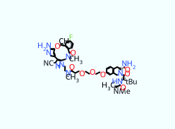 CN[C@H](C)C(=O)N[C@@H](C(=O)N1Cc2cc(OCCOCCOCCC(=O)N(C)CCn3nc(C#N)c4c3CN(C)C(=O)c3ccc(F)cc3[C@@H](C)Oc3cc-4cnc3N)ccc2C[C@@H]1C(N)=O)C(C)(C)C